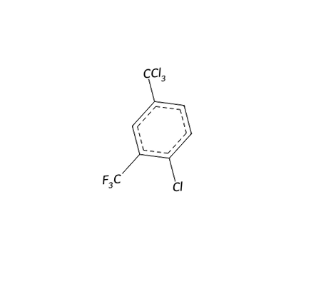 FC(F)(F)c1cc(C(Cl)(Cl)Cl)ccc1Cl